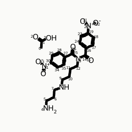 CC(=O)O.NCCCNCCCCN(C(=O)c1ccc([N+](=O)[O-])cc1)C(=O)c1ccc([N+](=O)[O-])cc1